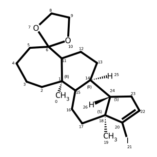 C[C@]12CCCCC3(OCCO3)C1CC[C@@H]1C2CC[C@]2(C)C(I)=CC[C@@H]12